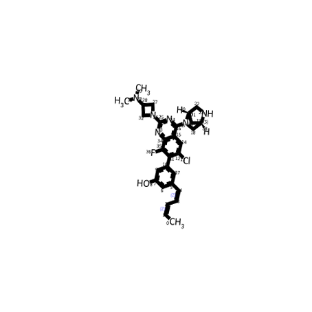 C/C=C\C=C/c1cc(O)cc(-c2c(Cl)cc3c(N4C[C@@H]5C[C@H]4CN5)nc(N4CC(N(C)C)C4)nc3c2F)c1